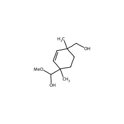 COC(O)C1(C)C=CC(C)(CO)CC1